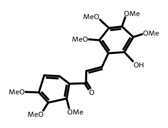 COc1ccc(C(=O)/C=C/c2c(O)c(OC)c(OC)c(OC)c2OC)c(OC)c1OC